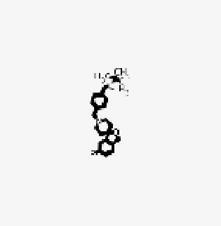 CC(C)(C)OCc1ccc(CN2CCC3(CC2)OCc2ccc(F)cc23)cc1